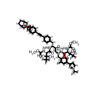 COC(=O)N[C@H](C(=O)N[C@@H](Cc1ccc(C#Cc2ccc(N3CC4CCC(C3)N4C3COC3)cc2)cc1)[C@@H](O)CN(Cc1c(F)cc(-c2ccn(C(F)F)n2)cc1F)NC(=O)[C@@H](NC(=O)OC)C(C)(C)C(F)(F)F)C(C)(C)C(F)(F)F